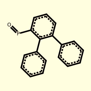 O=Pc1cccc(-c2ccccc2)c1-c1ccccc1